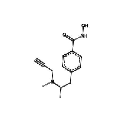 C#CCN(C)C(C)Cc1ccc(C(=O)NO)cc1